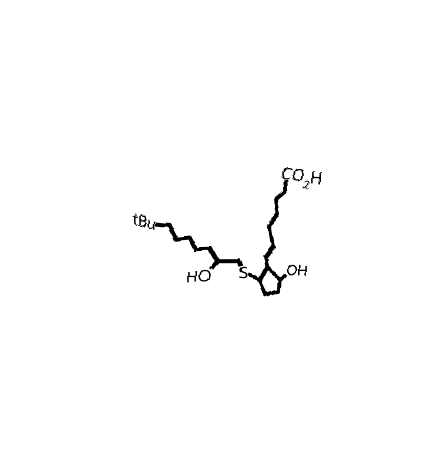 CC(C)(C)CCCCCC(O)CSC1CCC(O)C1CCCCCCC(=O)O